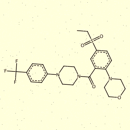 CCS(=O)(=O)c1ccc(N2CCOCC2)c(C(=O)N2CCN(c3ccc(C(F)(F)F)cc3)CC2)c1